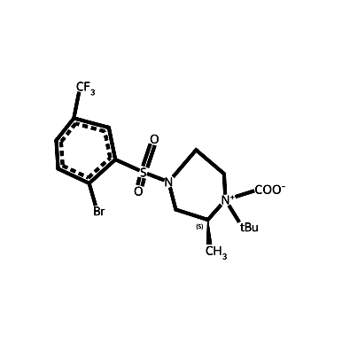 C[C@H]1CN(S(=O)(=O)c2cc(C(F)(F)F)ccc2Br)CC[N+]1(C(=O)[O-])C(C)(C)C